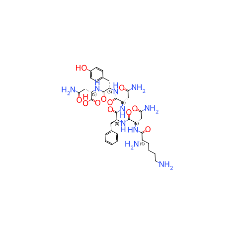 NCCCC[C@H](N)C(=O)N[C@@H](CC(N)=O)C(=O)N[C@@H](Cc1ccccc1)C(=O)N[C@@H](CC(N)=O)C(=O)N[C@@H](Cc1ccc(O)cc1)C(=O)N[C@@H](CC(N)=O)C(=O)O